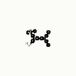 Cc1ccc(N(c2ccc(-c3ccc(N(c4ccc(-c5ccccc5)cc4)c4ccc(-c5ccccc5)cc4)cc3)cc2)c2ccc(-c3c(-c4ccccc4)nc4ccccn34)cc2)cc1